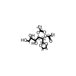 CCC(=O)O[C@@H]([C@H](O)[C@H](O)CO)[C@@H](OC(=O)CC)C1OCCO1